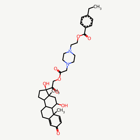 CCc1ccc(C(=O)OCCN2CCN(CC(=O)OCC(=O)[C@@]3(O)CCC4C5CCC6=CC(=O)C=CC6(C)C5C(O)CC43C)CC2)cc1